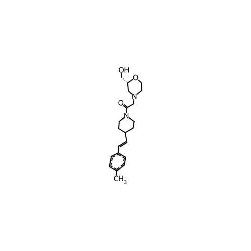 Cc1ccc(/C=C/C2CCN(C(=O)CN3CCO[C@@H](CO)C3)CC2)cc1